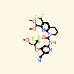 COC[C@@H](Oc1cc(NC(=O)N2CCCc3cc(C(F)F)c(C(OC)OC)nc32)ncc1C#N)C(F)(F)F